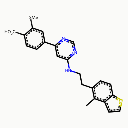 CSc1cc(-c2cc(NCCc3ccc4sccc4c3C)ncn2)ccc1C(=O)O